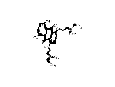 CCN(O)CCNc1ccc(NCCN(O)CC)c2c1C(=O)c1c(O)ccc(O)c1C2=O